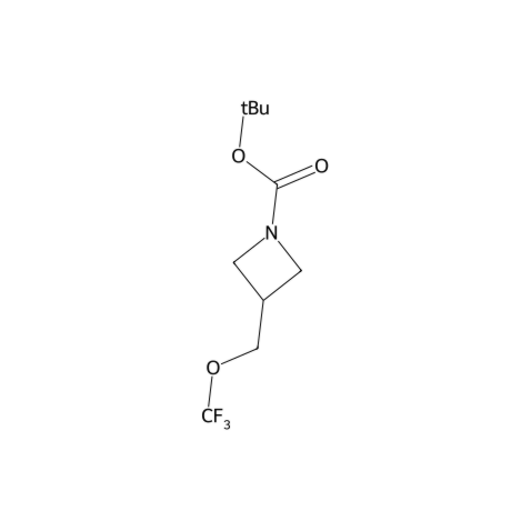 CC(C)(C)OC(=O)N1CC(COC(F)(F)F)C1